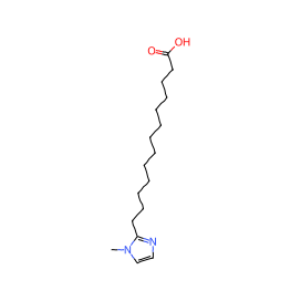 Cn1ccnc1CCCCCCCCCCCCC(=O)O